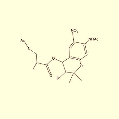 CC(=O)Nc1cc2c(cc1[N+](=O)[O-])C(OC(=O)C(C)CSC(C)=O)C(Br)C(C)(C)O2